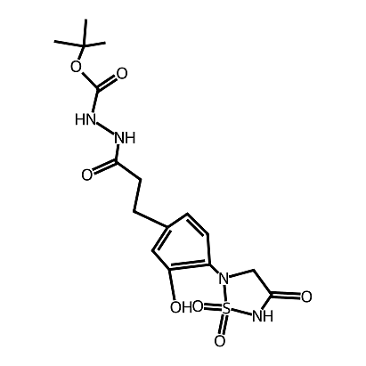 CC(C)(C)OC(=O)NNC(=O)CCc1ccc(N2CC(=O)NS2(=O)=O)c(O)c1